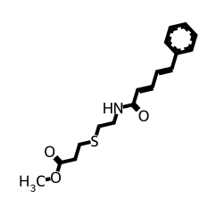 COC(=O)CCSCCNC(=O)/C=C/C=C/c1ccccc1